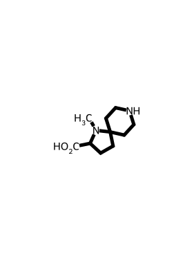 CN1C(C(=O)O)CCC12CCNCC2